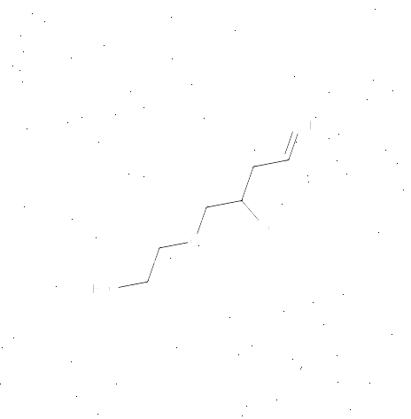 C=CCC([O])COCCC